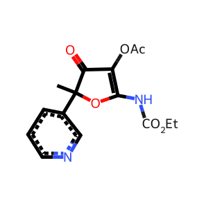 CCOC(=O)NC1=C(OC(C)=O)C(=O)C(C)(c2cccnc2)O1